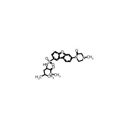 COC(=O)C(CC(C)C)NS(=O)(=O)c1ccc2oc3cc(N4CCN(C)CC4=O)ccc3c2c1